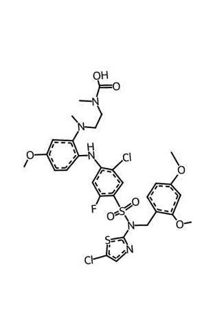 COc1ccc(CN(c2ncc(Cl)s2)S(=O)(=O)c2cc(Cl)c(Nc3ccc(OC)cc3N(C)CCN(C)C(=O)O)cc2F)c(OC)c1